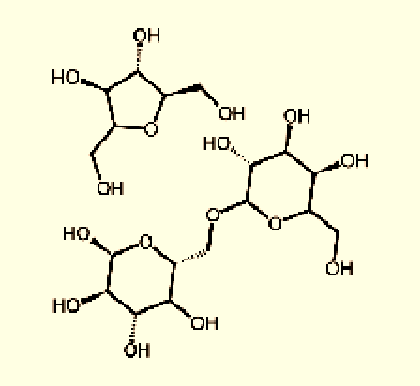 OCC1OC(OC[C@H]2O[C@H](O)[C@H](O)[C@@H](O)C2O)[C@H](O)[C@@H](O)[C@H]1O.OCC1O[C@H](CO)[C@@H](O)[C@@H]1O